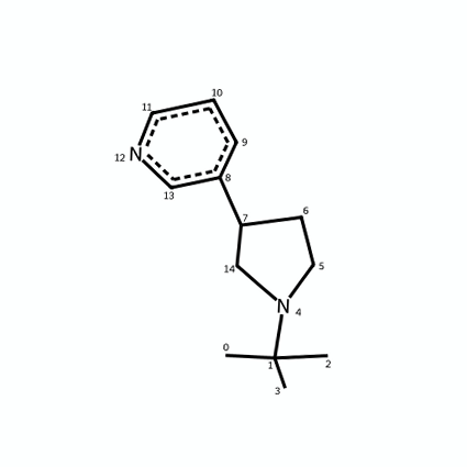 CC(C)(C)N1CCC(c2cccnc2)C1